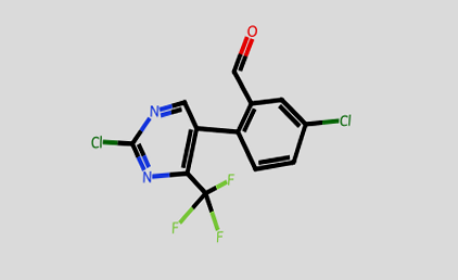 O=Cc1cc(Cl)ccc1-c1cnc(Cl)nc1C(F)(F)F